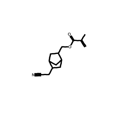 C=C(C)C(=O)OCC1CC2CC1CC2CC#N